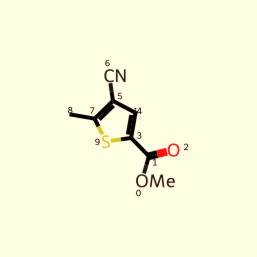 COC(=O)c1[c]c(C#N)c(C)s1